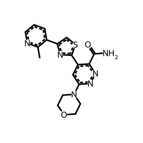 Cc1ncccc1-c1csc(-c2cc(N3CCOCC3)nnc2C(N)=O)n1